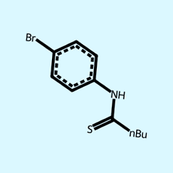 CCCCC(=S)Nc1ccc(Br)cc1